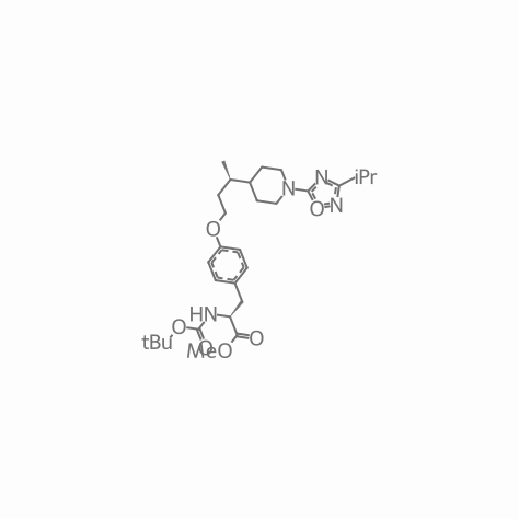 COC(=O)[C@H](Cc1ccc(OCC[C@@H](C)C2CCN(c3nc(C(C)C)no3)CC2)cc1)NC(=O)OC(C)(C)C